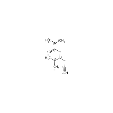 C#CCC(CC(=O)N(C)C)C(C)C